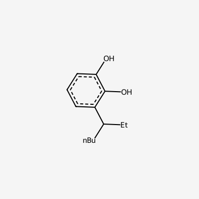 CCCCC(CC)c1cccc(O)c1O